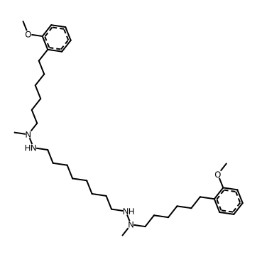 COc1ccccc1CCCCCCN(C)NCCCCCCCCNN(C)CCCCCCc1ccccc1OC